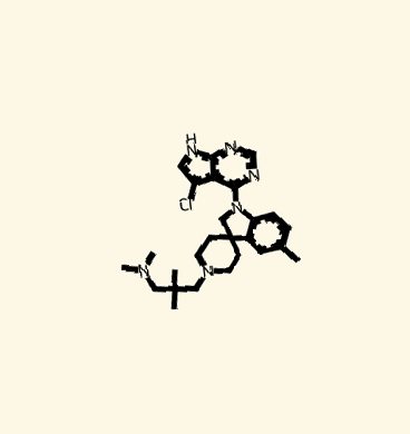 Cc1ccc2c(c1)C1(CCN(CC(C)(C)CN(C)C)CC1)CN2c1ncnc2[nH]cc(Cl)c12